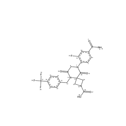 NC(=O)c1ccc(N2CC(=O)N(Cc3ccc(C(F)(F)F)cc3)C3(CN(C(=O)O)C3)C2=O)c(F)c1